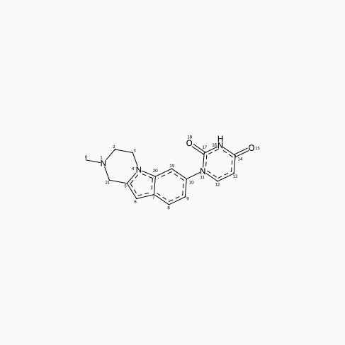 CN1CCn2c(cc3ccc(-n4ccc(=O)[nH]c4=O)cc32)C1